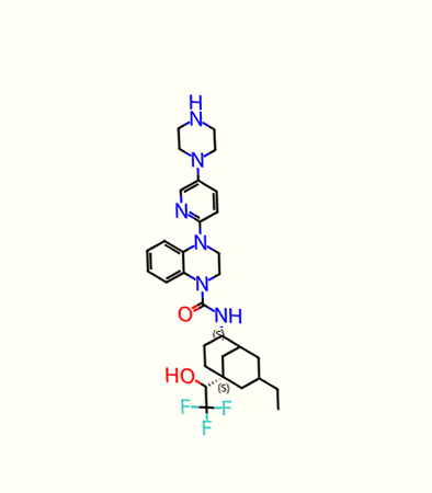 CCC1CC2C[C@](C(O)C(F)(F)F)(CC[C@@H]2NC(=O)N2CCN(c3ccc(N4CCNCC4)cn3)c3ccccc32)C1